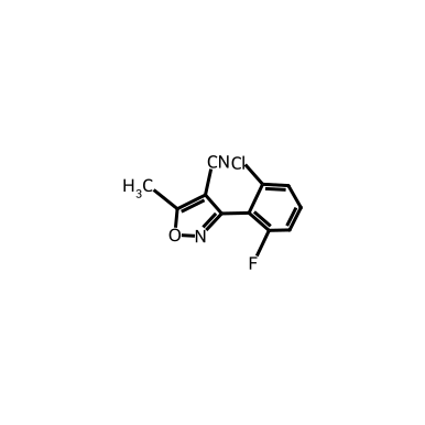 Cc1onc(-c2c(F)cccc2Cl)c1C#N